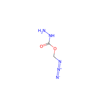 [N-]=[N+]=NCOC(=O)NN